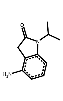 CC(C)N1C(=O)Cc2c(N)cccc21